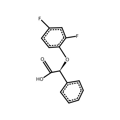 O=C(O)[C@@H](Oc1ccc(F)cc1F)c1ccccc1